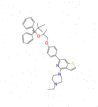 CCN1CCN(c2nc(-c3ccc(OCC(C)O[Si](c4ccccc4)(c4ccccc4)C(C)(C)C)cc3)cc3sccc23)CC1